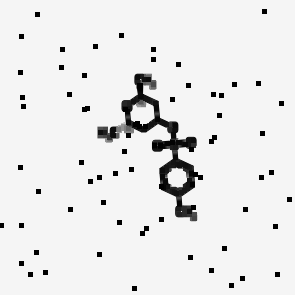 Cc1ccc(S(=O)(=O)OC2C[C@H](C)O[C@@H](C)C2)cc1